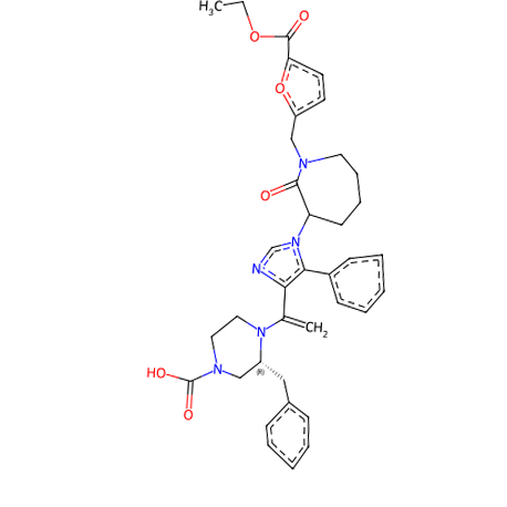 C=C(c1ncn(C2CCCCN(Cc3ccc(C(=O)OCC)o3)C2=O)c1-c1ccccc1)N1CCN(C(=O)O)C[C@H]1Cc1ccccc1